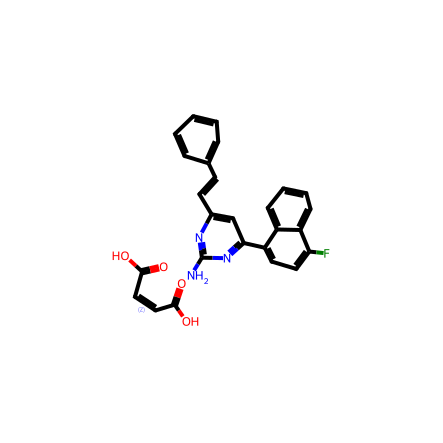 Nc1nc(C=Cc2ccccc2)cc(-c2ccc(F)c3ccccc23)n1.O=C(O)/C=C\C(=O)O